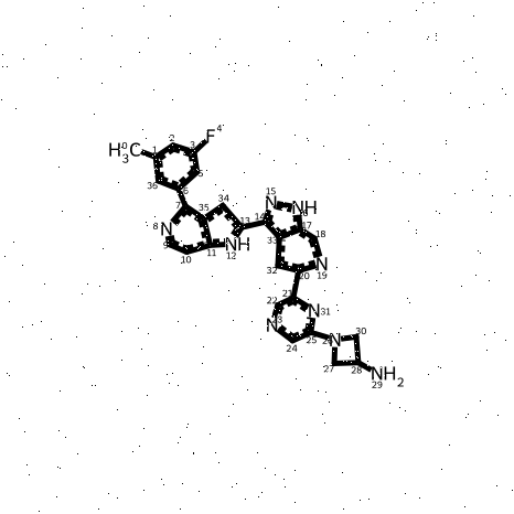 Cc1cc(F)cc(-c2nccc3[nH]c(-c4n[nH]c5cnc(-c6cncc(N7CC(N)C7)n6)cc45)cc23)c1